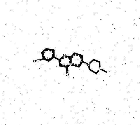 COc1cccc(-c2cc(=O)n3cc(N4CCN(C)CC4)ccc3n2)c1